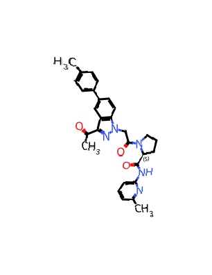 CC(=O)c1nn(CC(=O)N2CCC[C@H]2C(=O)Nc2cccc(C)n2)c2ccc(-c3ccc(C)cc3)cc12